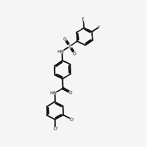 O=C(Nc1ccc(Cl)c(Cl)c1)c1ccc(NS(=O)(=O)c2ccc(F)c(F)c2)cc1